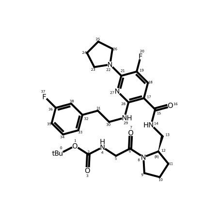 CC(C)(C)OC(=O)NCC(=O)N1CCC[C@@H]1CNC(=O)c1cc(F)c(N2CCCC2)nc1NCCc1cccc(F)c1